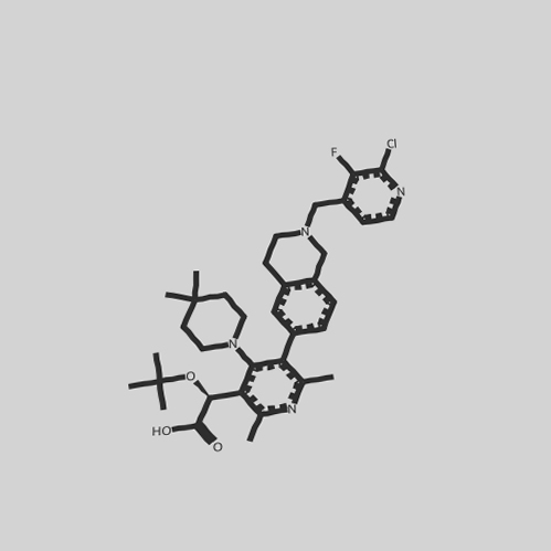 Cc1nc(C)c([C@H](OC(C)(C)C)C(=O)O)c(N2CCC(C)(C)CC2)c1-c1ccc2c(c1)CCN(Cc1ccnc(Cl)c1F)C2